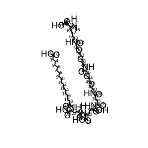 O=C(O)CCCCCCCCCCCCCCCCC(=O)N[C@@H](CCC(=O)N[C@@H](CCC(=O)N[C@@H](CCC(=O)NCCOCCOCC(=O)NCCOCCOCC(=O)NCCCC[C@H](NI)C1OC1O)C(=O)O)C(=O)O)C(=O)O